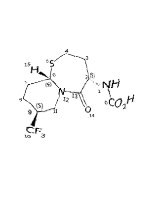 O=C(O)N[C@H]1CCS[C@H]2CC[C@H](C(F)(F)F)CN2C1=O